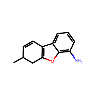 CC1C=Cc2c(oc3c(N)cccc23)C1